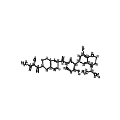 CNC(=O)NC1CCc2cc(Nc3ncc(F)c(-c4cc(F)c5c(c4)N(C(C)C)CCO5)n3)ccc2C1